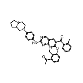 CC(=O)c1cccc(F)c1Cn1c(=O)c(C(=O)c2ccccc2C)cc2cnc(Nc3ccc(N4CCN5CCCC5C4)cc3)nc21